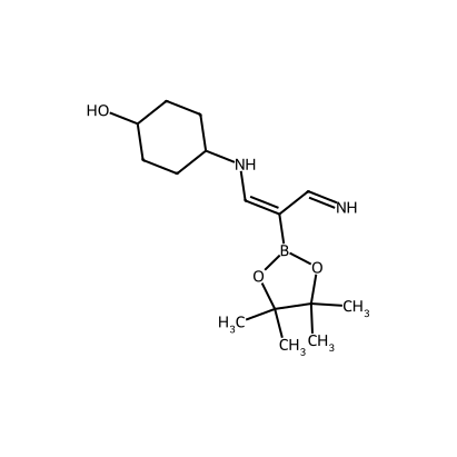 CC1(C)OB(/C(C=N)=C/NC2CCC(O)CC2)OC1(C)C